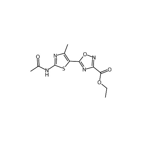 CCOC(=O)c1noc(-c2sc(NC(C)=O)nc2C)n1